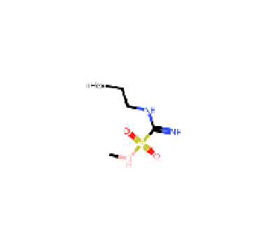 CBS(=O)(=O)C(=N)NCCCCCCCC